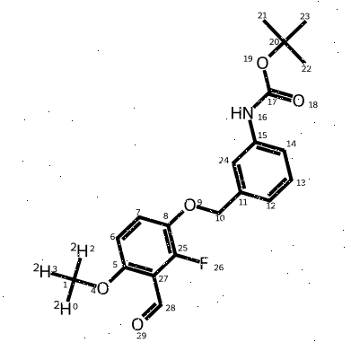 [2H]C([2H])([2H])Oc1ccc(OCc2cccc(NC(=O)OC(C)(C)C)c2)c(F)c1C=O